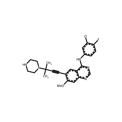 COc1cc2ncnc(Nc3ccc(F)c(Cl)c3)c2cc1C#CC(C)(C)N1CCNCC1